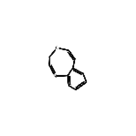 C1=Cc2ccccc2N=CCO1